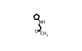 CC(=O)CCNC1CCCC1